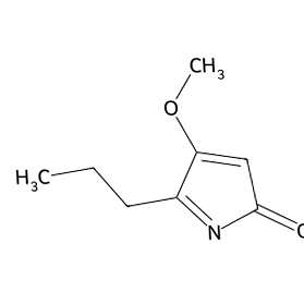 CCCC1=NC(=O)C=C1OC